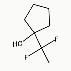 CC(F)(F)C1(O)CCCC1